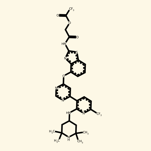 CC1(C)CC(Nc2nc(C(F)(F)F)ccc2-c2cc(Oc3cccc4sc(NC(=O)COC(=O)C(F)(F)F)nc34)ncn2)CC(C)(C)N1